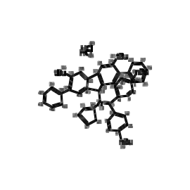 CCCCc1ccc([C](c2ccc(CCCC)cc2)=[Zr]([C]2=CC=CC2)[CH]2c3cc(-c4ccccc4)c(C(C)(C)C)cc3-c3cc(C(C)(C)C)c(-c4ccccc4)cc32)cc1.Cl.Cl